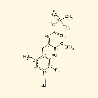 COC(=O)/C(Cc1cc(F)c(C#N)cc1C)=N\C(=O)OC(C)(C)C